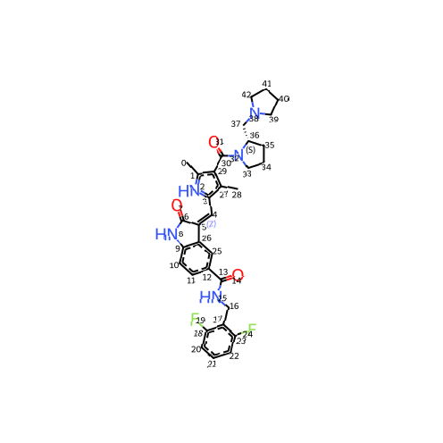 Cc1[nH]c(/C=C2\C(=O)Nc3ccc(C(=O)NCc4c(F)cccc4F)cc32)c(C)c1C(=O)N1CCC[C@H]1CN1CCCC1